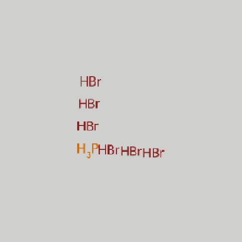 Br.Br.Br.Br.Br.Br.P